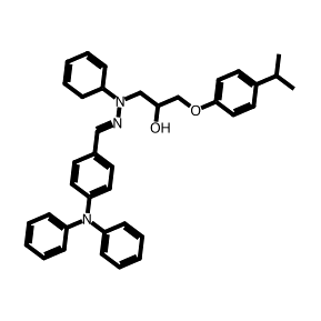 CC(C)c1ccc(OCC(O)CN(/N=C/c2ccc(N(c3ccccc3)c3ccccc3)cc2)C2C=CC=CC2)cc1